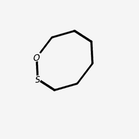 C1CCCSOCC1